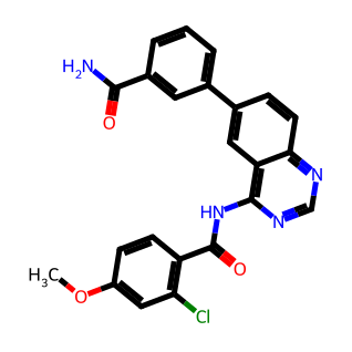 COc1ccc(C(=O)Nc2ncnc3ccc(-c4cccc(C(N)=O)c4)cc23)c(Cl)c1